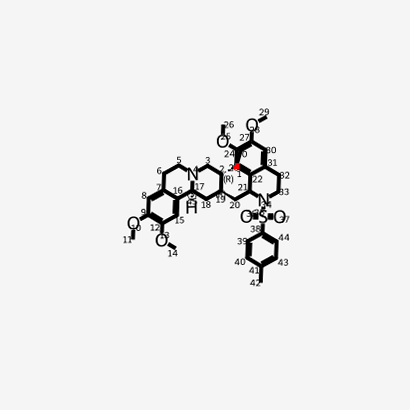 CC[C@H]1CN2CCc3cc(OC)c(OC)cc3[C@@H]2C[C@@H]1CC1c2cc(OC)c(OC)cc2CCN1S(=O)(=O)c1ccc(C)cc1